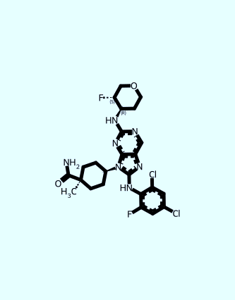 C[C@]1(C(N)=O)CC[C@@H](n2c(Nc3c(F)cc(Cl)cc3Cl)nc3cnc(N[C@@H]4CCOC[C@H]4F)nc32)CC1